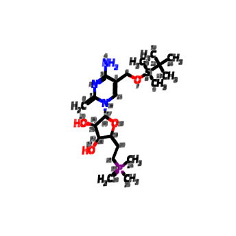 C=C1N=C(N)C(CO[Si](C)(C)C(C)(C)C)=CN1[C@@H]1OC(CCP(=C)(C)C)[C@@H](O)[C@H]1O